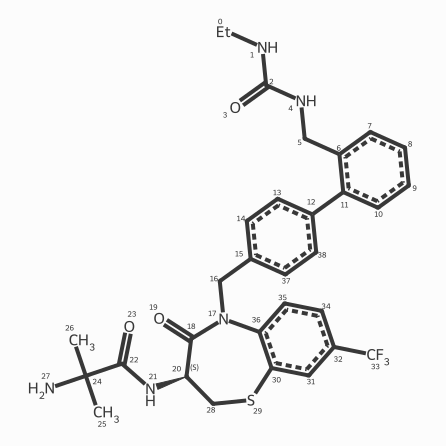 CCNC(=O)NCc1ccccc1-c1ccc(CN2C(=O)[C@H](NC(=O)C(C)(C)N)CSc3cc(C(F)(F)F)ccc32)cc1